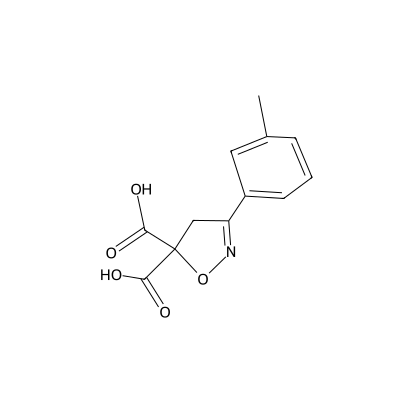 Cc1cccc(C2=NOC(C(=O)O)(C(=O)O)C2)c1